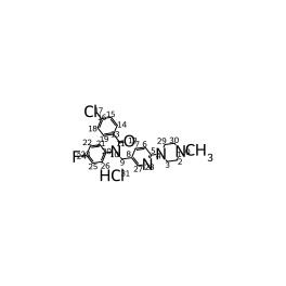 CN1CCN(c2ccc(CN(C(=O)c3ccc(Cl)cc3)c3ccc(F)cc3)cn2)CC1.Cl